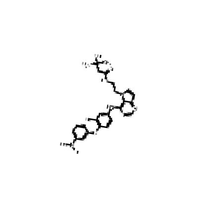 CCN(CC)c1cccc(Oc2ccc(Nc3ncnc4ccn(CCNC(=O)CC(C)(C)O)c34)cc2Cl)c1